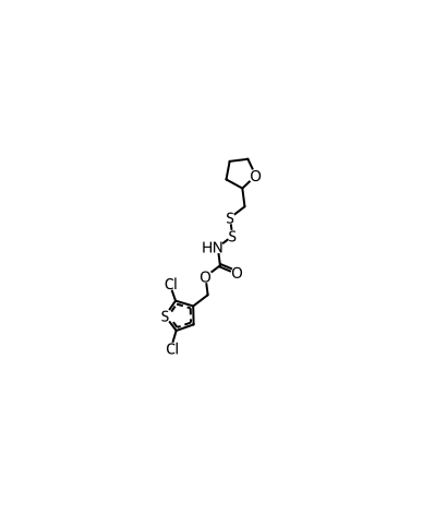 O=C(NSSCC1CCCO1)OCc1cc(Cl)sc1Cl